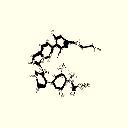 COCCOc1cc(F)c(-c2ccc3cnc(Nc4cnccc4[C@H]4C[C@@H](N)[C@@H](N(C)C(=O)OC)[C@@H](C)C4)n3n2)c(F)c1